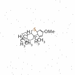 COC1=CC2SC[C@@H]3[C@@]4(C)CCCC(C)(C)[C@@H]4CC[C@@]3(C)C2C(C)=C1